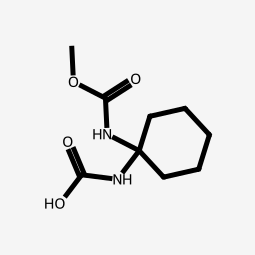 COC(=O)NC1(NC(=O)O)CCCCC1